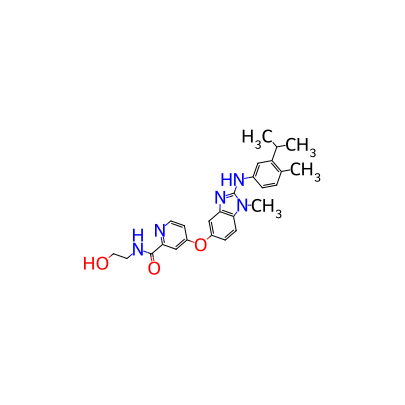 Cc1ccc(Nc2nc3cc(Oc4ccnc(C(=O)NCCO)c4)ccc3n2C)cc1C(C)C